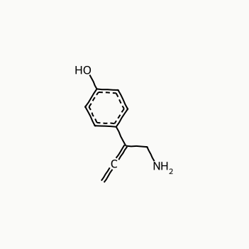 C=C=C(CN)c1ccc(O)cc1